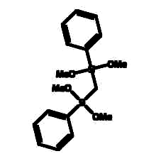 CO[Si](C[Si](OC)(OC)c1ccccc1)(OC)c1ccccc1